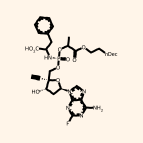 C#C[C@]1(CO[P@@](=O)(NC(Cc2ccccc2)C(=O)O)OC(C)C(=O)OCCCCCCCCCCCC)O[C@@H](n2cnc3c(N)nc(F)nc32)C[C@@H]1O